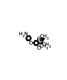 CC12CC1(Cl)C(C)(C)c1c(Cl)cc(Oc3ccc(N)cc3)cc1O2